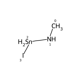 C[NH][SnH2][I]